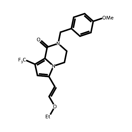 CCO/C=C/c1cc(C(F)(F)F)c2n1CCN(Cc1ccc(OC)cc1)C2=O